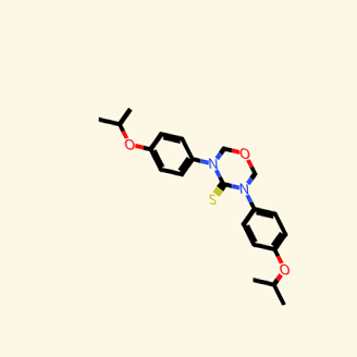 CC(C)Oc1ccc(N2COCN(c3ccc(OC(C)C)cc3)C2=S)cc1